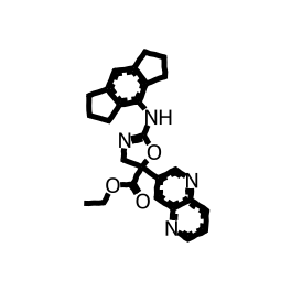 CCOC(=O)C1(c2cnc3cccnc3c2)CN=C(Nc2c3c(cc4c2CCC4)CCC3)O1